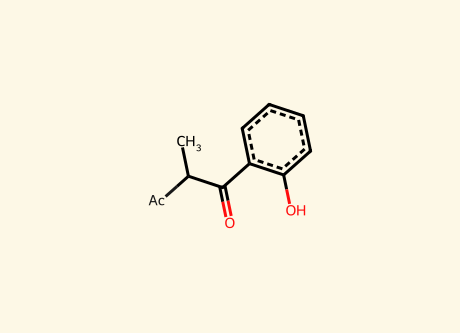 CC(=O)C(C)C(=O)c1ccccc1O